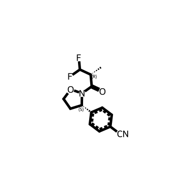 C[C@H](C(=O)N1OCC[C@H]1c1ccc(C#N)cc1)C(F)F